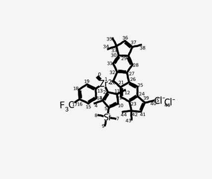 [CH2]=[Zr+2]([C]1=C(C)C([Si](C)(C)C)=CC1C)([c]1ccc(C(F)(F)F)cc1)[CH]1c2cc3c(cc2-c2cc4c(cc21)C(C)(C)C=C4C)C(C)=CC3(C)C.[Cl-].[Cl-]